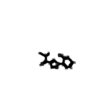 CC(C)C(=O)c1cnn(-c2ccccc2Cl)c1